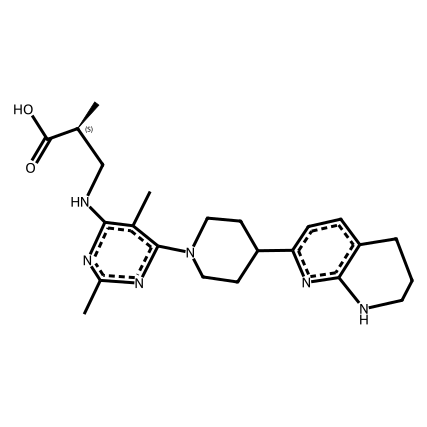 Cc1nc(NC[C@H](C)C(=O)O)c(C)c(N2CCC(c3ccc4c(n3)NCCC4)CC2)n1